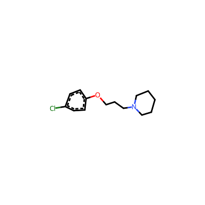 Clc1ccc(OCCCN2CCCCC2)cc1